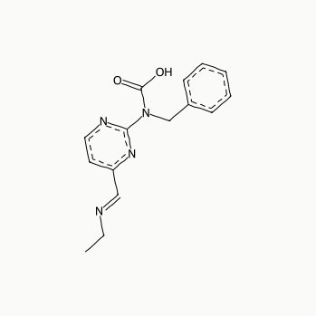 CCN=Cc1ccnc(N(Cc2ccccc2)C(=O)O)n1